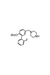 COc1ccc(CN2CCNCC2)cc1-c1ccccc1F